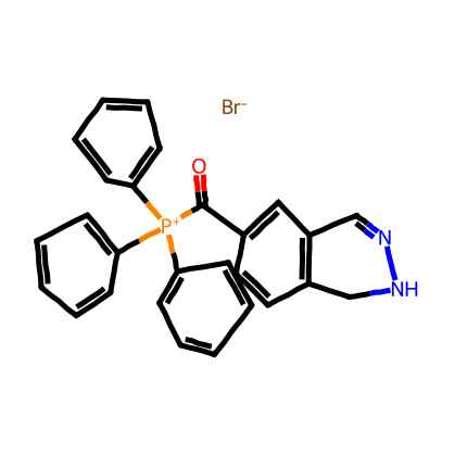 O=C(c1ccc2c(c1)C=NNC2)[P+](c1ccccc1)(c1ccccc1)c1ccccc1.[Br-]